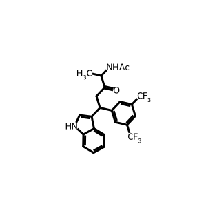 CC(=O)NC(C)C(=O)CC(c1cc(C(F)(F)F)cc(C(F)(F)F)c1)c1c[nH]c2ccccc12